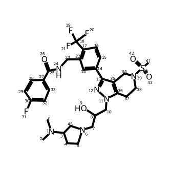 CN(C)C1CCN(CC(O)Cn2nc(-c3ccc(C(F)(F)F)c(CNC(=O)c4ccc(F)cc4)c3)c3c2CCN(S(C)(=O)=O)C3)C1